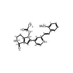 CSc1ccccc1C=Cc1cc(-c2cc3c(n2OC(=O)C(F)(F)F)CCNC3=O)ccn1